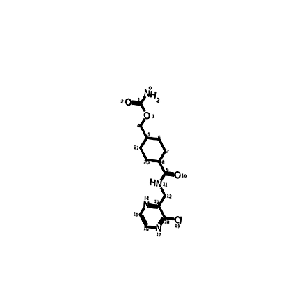 NC(=O)OCC1CCC(C(=O)NCc2nccnc2Cl)CC1